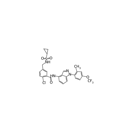 Cc1cc(OC(F)(F)F)ccc1-n1ncc2c(NC(=O)c3cc(CNS(=O)(=O)C4CC4)ccc3Cl)cccc21